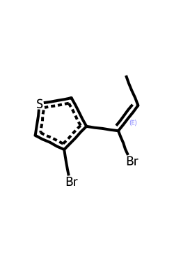 C/C=C(/Br)c1cscc1Br